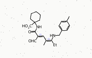 CC/C(NCc1ccc(C)cc1)=C(C)/C=C(\C=O)C(=O)NC1(C(=O)O)CCCCC1